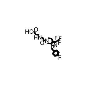 O=C(O)CCNCC(=O)N1CCc2c(C(F)(F)F)nn(Cc3ccc(F)cc3)c2C1